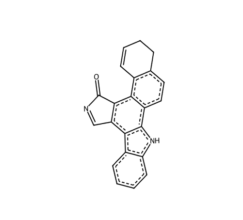 O=C1N=Cc2c1c1c3c(ccc1c1[nH]c4ccccc4c21)CCC=C3